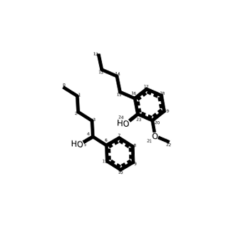 CCCCC(O)c1ccccc1.CCCCc1cccc(OC)c1O